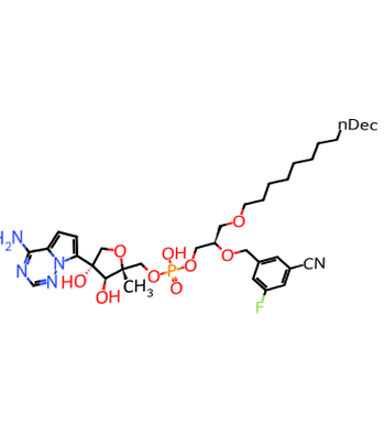 CCCCCCCCCCCCCCCCCCOC[C@H](COP(=O)(O)OC[C@@]1(C)OC[C@](O)(c2ccc3c(N)ncnn23)[C@@H]1O)OCc1cc(F)cc(C#N)c1